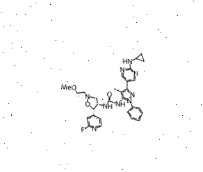 COCCN1C[C@@H](NC(=O)Nc2c(C)c(-c3cnc(NC4CC4)nc3)nn2-c2ccccc2)[C@H](c2ccnc(F)c2)O1